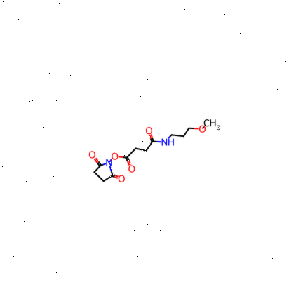 COCCCNC(=O)CCC(=O)ON1C(=O)CCC1=O